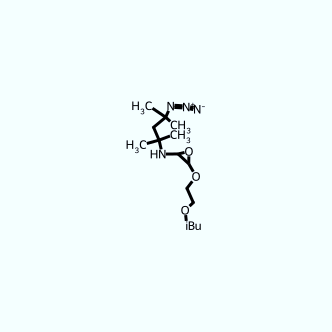 CCC(C)OCCOC1OC1NC(C)(C)CC(C)(C)N=[N+]=[N-]